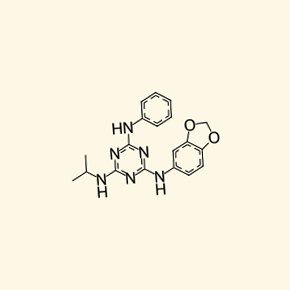 CC(C)Nc1nc(Nc2ccccc2)nc(Nc2ccc3c(c2)OCO3)n1